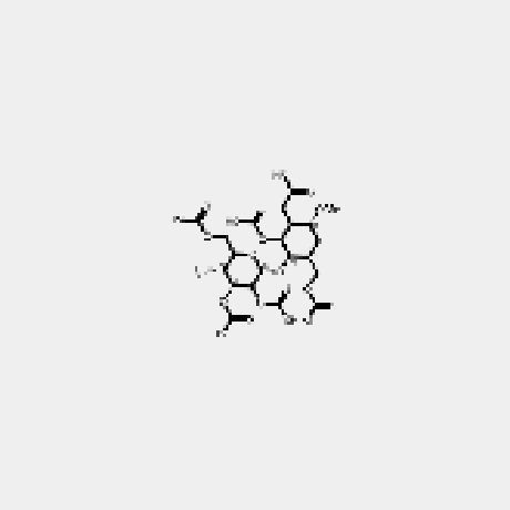 CO[C@@H]1C[C@@H](COC(=S)S)[C@@H](O[C@@H]2OC(COC(=S)S)[C@@H](C)[C@H](OC(=S)S)C2OC(=S)S)C(OC(=S)S)C1CC(=S)S